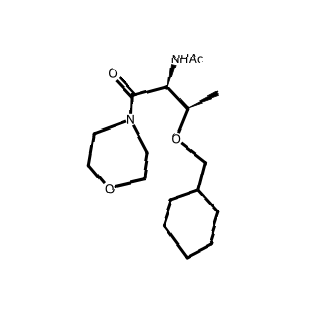 CC(=O)N[C@H](C(=O)N1CCOCC1)[C@@H](C)OCC1CCCCC1